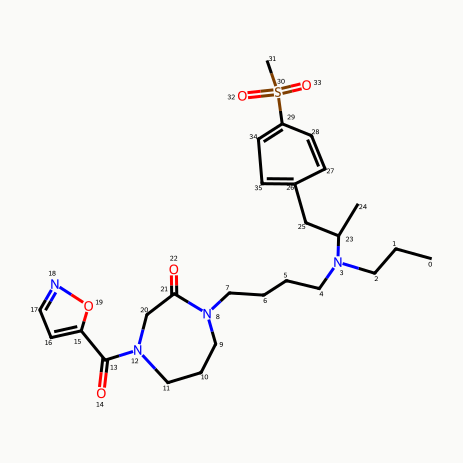 CCCN(CCCCN1CCCN(C(=O)c2ccno2)CC1=O)C(C)Cc1ccc(S(C)(=O)=O)cc1